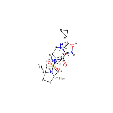 O=C(N[C@H]1C[C@H]2CC[C@@H](C1)N2S(=O)(=O)C1C2CCC1CNC2)c1cc(C2CC2)on1